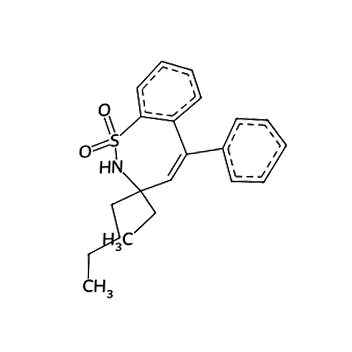 CCCCC1(CC)C=C(c2ccccc2)c2ccccc2S(=O)(=O)N1